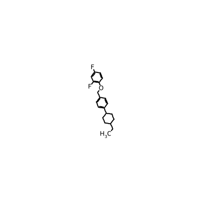 CCC1CCC(c2ccc(COc3ccc(F)cc3F)cc2)CC1